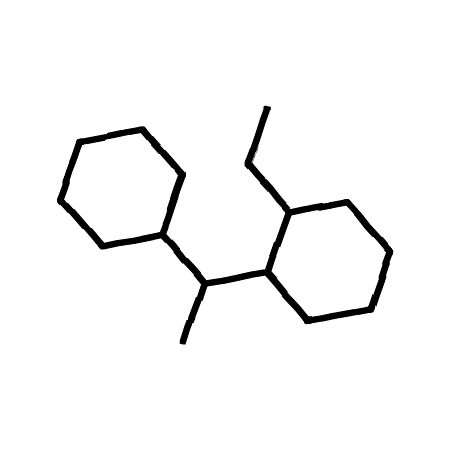 CCC1CCCCC1C(C)C1CCCCC1